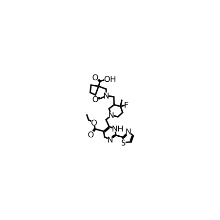 CCOC(=O)C1=C(CN2CCC(C)(F)C(CN(C=O)CC3(C(=O)O)CCC3)C2)NC(c2nccs2)=NC1